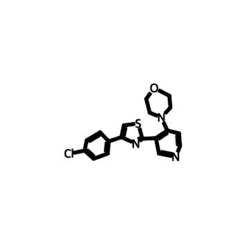 Clc1ccc(-c2csc(-c3cnccc3N3CCOCC3)n2)cc1